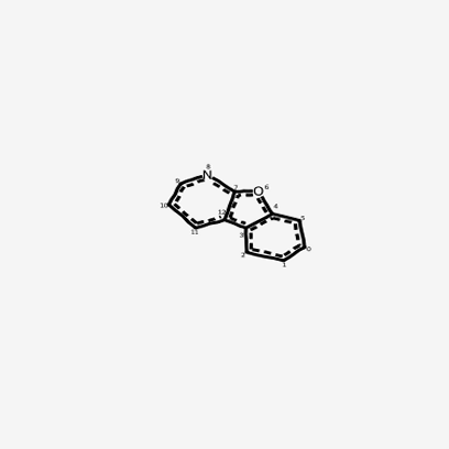 c1ccc2c(c1)oc1ncccc12